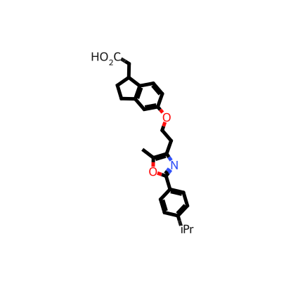 Cc1oc(-c2ccc(C(C)C)cc2)nc1CCOc1ccc2c(c1)CCC2CC(=O)O